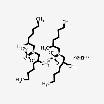 CCCCCC(C)CS(CC(C)CCCCC)=P([O-])([O-])[S-].CCCCCC(C)CS(CC(C)CCCCC)=P([O-])([O-])[S-].[Zn+2].[Zn+2].[Zn+2]